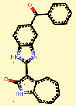 O=C(c1ccccc1)c1ccc2[nH]c(-c3c4cccccc-4[nH]c3=O)nc2c1